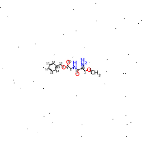 COC[C@H](N)C(=O)NCC(=O)OCc1ccccc1